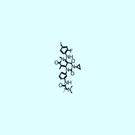 Cc1c(=O)n(C)c(Nc2ccc(I)cc2F)c2c(=O)n(C3CC3)c(=O)n(-c3cccc(NC(=O)[C@@H](C)N(C)C)c3)c12